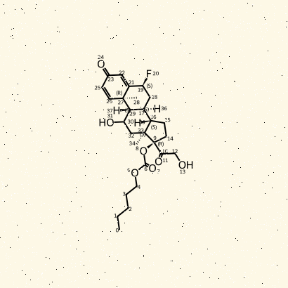 CCCCCOC(=O)O[C@]1(C(=O)CO)CC[C@H]2[C@@H]3C[C@H](F)C4=CC(=O)C=C[C@]4(C)[C@H]3C(O)C[C@@]21C